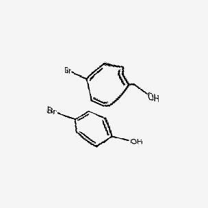 Oc1ccc(Br)cc1.Oc1ccc(Br)cc1